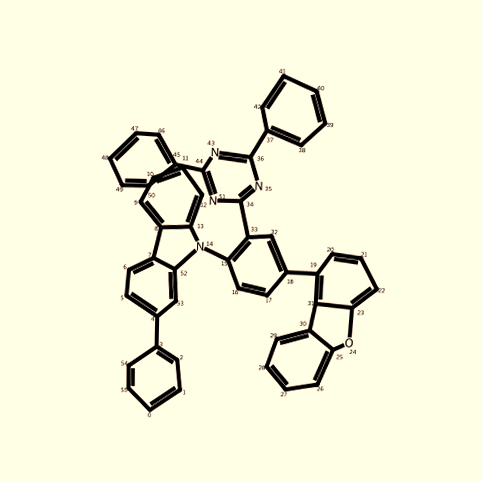 c1ccc(-c2ccc3c4ccccc4n(-c4ccc(-c5cccc6oc7ccccc7c56)cc4-c4nc(-c5ccccc5)nc(-c5ccccc5)n4)c3c2)cc1